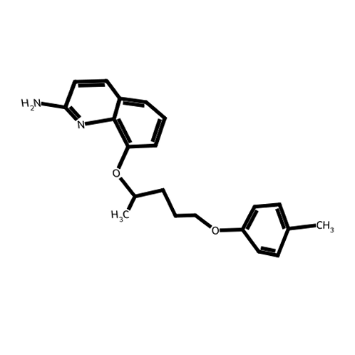 Cc1ccc(OCCCC(C)Oc2cccc3ccc(N)nc23)cc1